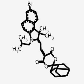 CC(C)CN1/C(=C\C=C2C(=O)OC3(OC2=O)C2CC4CC(C2)CC3C4)C(C)(C)c2c1ccc1cc(Br)ccc21